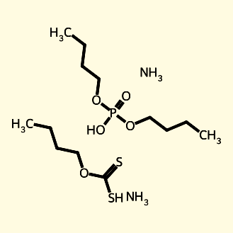 CCCCOC(=S)S.CCCCOP(=O)(O)OCCCC.N.N